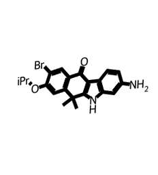 CC(C)Oc1cc2c(cc1Br)C(=O)c1c([nH]c3cc(N)ccc13)C2(C)C